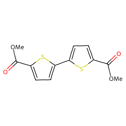 COC(=O)c1ccc(-c2ccc(C(=O)OC)s2)s1